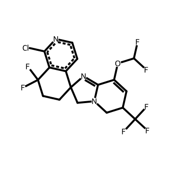 FC(F)OC1=CC(C(F)(F)F)CN2CC3(CCC(F)(F)c4c3ccnc4Cl)N=C12